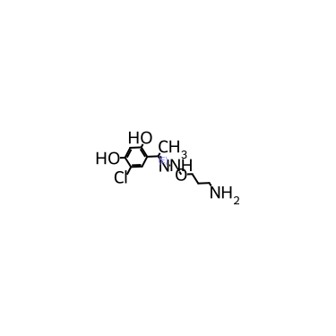 C/C(=N\NOCCCN)c1cc(Cl)c(O)cc1O